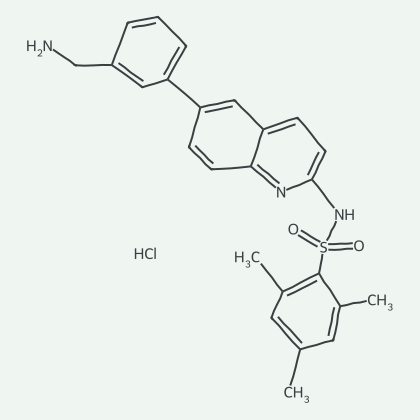 Cc1cc(C)c(S(=O)(=O)Nc2ccc3cc(-c4cccc(CN)c4)ccc3n2)c(C)c1.Cl